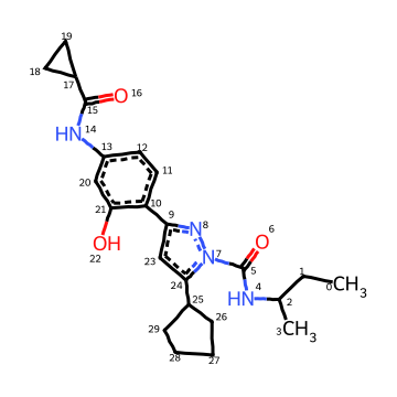 CCC(C)NC(=O)n1nc(-c2ccc(NC(=O)C3CC3)cc2O)cc1C1CCCC1